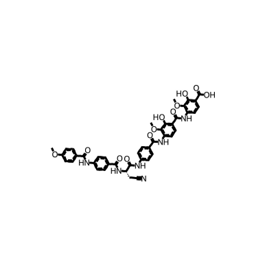 COc1ccc(C(=O)Nc2ccc(C(=O)N[C@@H](CC#N)C(=O)Nc3ccc(C(=O)Nc4ccc(C(=O)Nc5ccc(C(=O)O)c(O)c5OC)c(O)c4OC)cc3)cc2)cc1